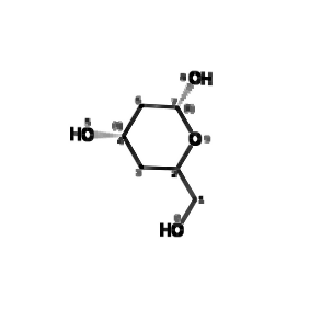 OCC1C[C@H](O)C[C@H](O)O1